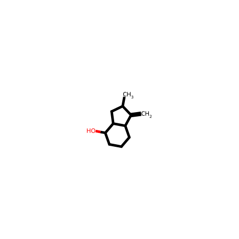 C=C1C(C)CC2C(O)CCCC12